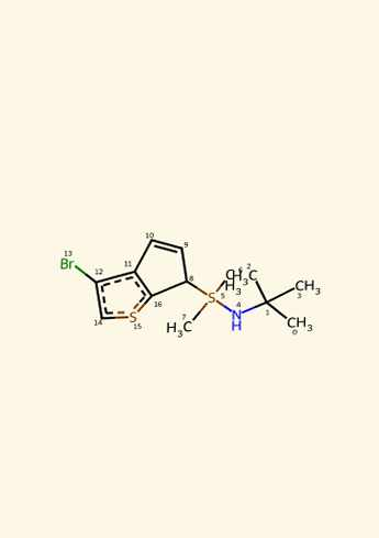 CC(C)(C)NS(C)(C)C1C=Cc2c(Br)csc21